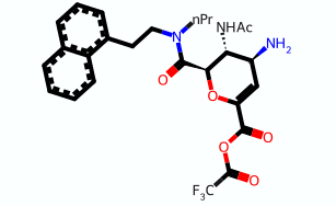 CCCN(CCc1cccc2ccccc12)C(=O)[C@@H]1OC(C(=O)OC(=O)C(F)(F)F)=C[C@H](N)[C@H]1NC(C)=O